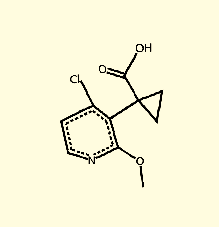 COc1nccc(Cl)c1C1(C(=O)O)CC1